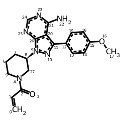 C=CC(=O)N1CCC[C@@H](n2nc(-c3ccc(OC)cc3)c3c(N)ncnc32)C1